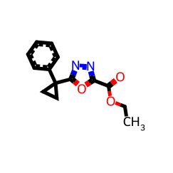 CCOC(=O)c1nnc(C2(c3ccccc3)CC2)o1